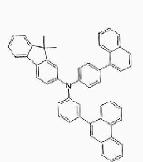 CC1(C)c2ccccc2-c2ccc(N(c3ccc(-c4cccc5ccccc45)cc3)c3cccc(-c4cc5ccccc5c5ccccc45)c3)cc21